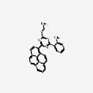 CCSc1nc(-c2ccccc2O)nc(-c2ccc3ccc4cccc5ccc2c3c45)n1